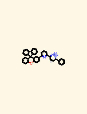 N=C(/C=C\C(N)c1ccccc1)c1cccc(-c2ccc3c(c2)C(c2ccccc2)(c2ccccc2)c2ccccc2O3)n1